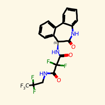 O=C1Nc2ccccc2-c2ccccc2[C@@H]1NC(=O)C(F)(F)C(=O)NCC(F)(F)C(F)(F)F